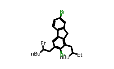 CCCCC(CC)Cc1cc2c(c(CC(CC)CCCC)c1Br)Cc1cc(Br)ccc1-2